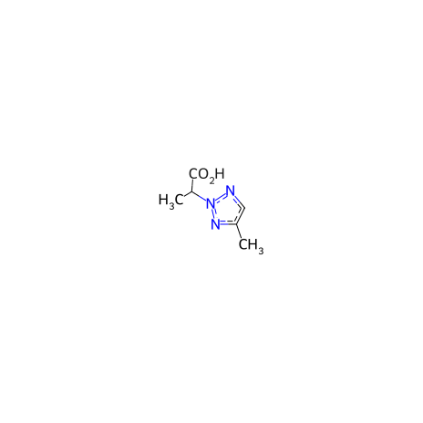 Cc1cnn(C(C)C(=O)O)n1